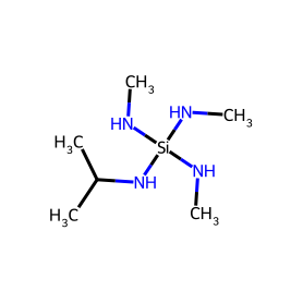 CN[Si](NC)(NC)NC(C)C